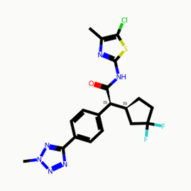 Cc1nc(NC(=O)[C@H](c2ccc(-c3nnn(C)n3)cc2)[C@H]2CCC(F)(F)C2)sc1Cl